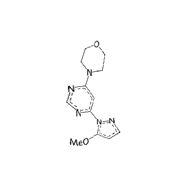 COc1ccnn1-c1cc(N2CCOCC2)ncn1